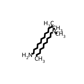 CCCCCCCCCCCCN.CCCCCCCCCCN(C)C